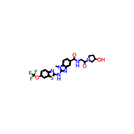 Cn1c(Nc2nc3ccc(OC(F)(F)F)cc3s2)nc2cc(C(=O)NCC(=O)N3CCC(O)C3)ccc21